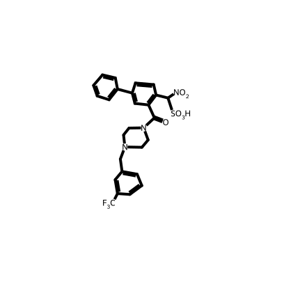 O=C(c1cc(-c2ccccc2)ccc1C([N+](=O)[O-])S(=O)(=O)O)N1CCN(Cc2cccc(C(F)(F)F)c2)CC1